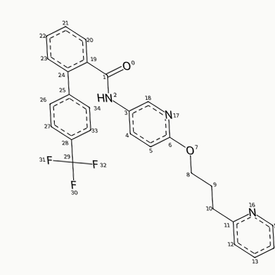 O=C(Nc1ccc(OCCCc2ccccn2)nc1)c1ccccc1-c1ccc(C(F)(F)F)cc1